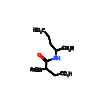 CC(=O)NC(CC(=O)O)C(=O)NC(CCC(=O)O)C(=O)O